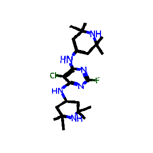 CC1(C)CC(Nc2nc(F)nc(NC3CC(C)(C)NC(C)(C)C3)c2Cl)CC(C)(C)N1